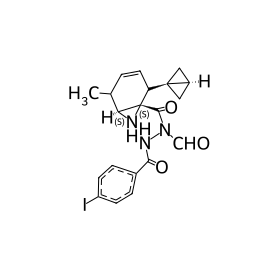 CC1C=CC([C@]23C[C@@H]2C3)[C@]2(C(=O)N(C=O)NC(=O)c3ccc(I)cc3)N[C@@H]12